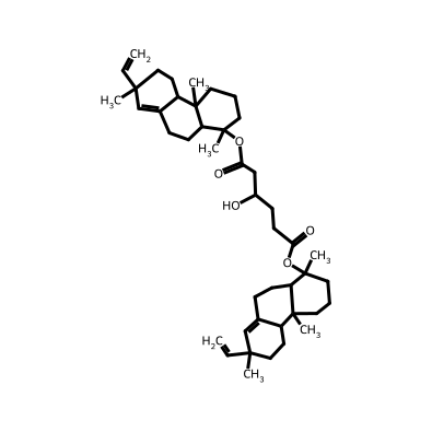 C=CC1(C)C=C2CCC3C(C)(OC(=O)CCC(O)CC(=O)OC4(C)CCCC5(C)C6CCC(C)(C=C)C=C6CCC45)CCCC3(C)C2CC1